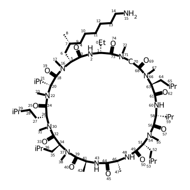 CC[C@H]1NC(=O)[C@@H](C[C@H](C)CCCCCCN)N(C)C(=O)[C@@H](C(C)C)N(C)C(=O)[C@@H](CCC(C)C)N(C)C(=O)[C@H](CC(C)C)N(C)C(=O)[C@H](C)NC(=O)[C@@H](C)NC(=O)[C@@H](CC(C)C)N(C)C(=O)[C@@H](C(C)C)NC(=O)[C@H](CC(C)C)N(C)C(=O)CN(C)C1=O